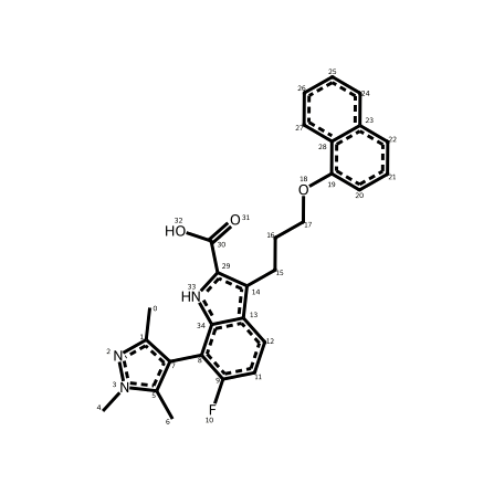 Cc1nn(C)c(C)c1-c1c(F)ccc2c(CCCOc3cccc4ccccc34)c(C(=O)O)[nH]c12